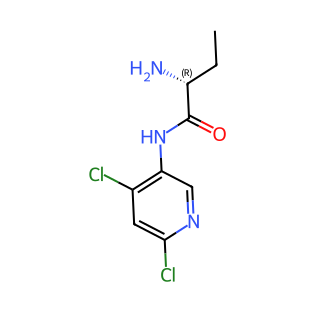 CC[C@@H](N)C(=O)Nc1cnc(Cl)cc1Cl